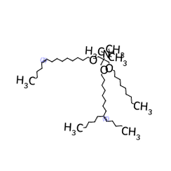 CCCC/C=C\CCCCCCCCOCC(COCCCCCCCCC)(COCCCCCCCC/C(=C\CCCC)CCCCC)[N+](C)(C)C